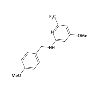 COc1ccc(CNc2cc(OC)cc(C(F)(F)F)n2)cc1